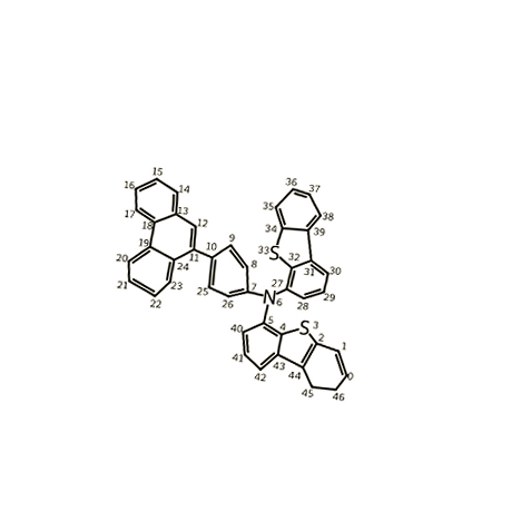 C1=Cc2sc3c(N(c4ccc(-c5cc6ccccc6c6ccccc56)cc4)c4cccc5c4sc4ccccc45)cccc3c2CC1